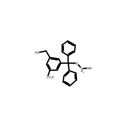 CCCC[SiH2]OC(c1ccccc1)(c1ccccc1)c1cc(CO)cc(C(=O)O)c1